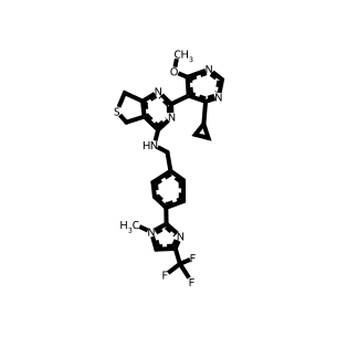 COc1ncnc(C2CC2)c1-c1nc2c(c(NCc3ccc(-c4nc(C(F)(F)F)cn4C)cc3)n1)CSC2